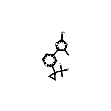 Cc1nc(N)sc1-c1ccnc(C2(C(F)(F)F)CC2)c1